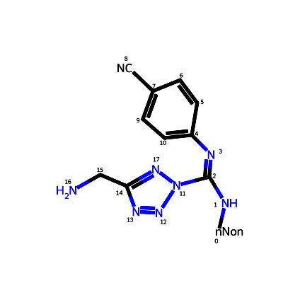 CCCCCCCCCNC(=Nc1ccc(C#N)cc1)n1nnc(CN)n1